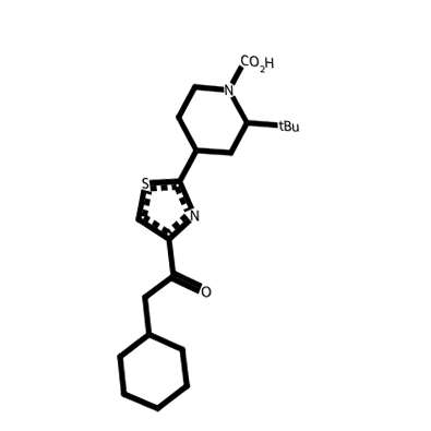 CC(C)(C)C1CC(c2nc(C(=O)CC3CCCCC3)cs2)CCN1C(=O)O